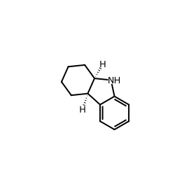 c1ccc2c(c1)N[C@@H]1CCCC[C@H]21